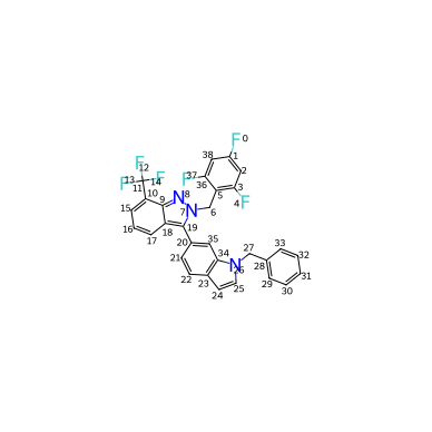 Fc1cc(F)c(Cn2nc3c(C(F)(F)F)cccc3c2-c2ccc3ccn(Cc4ccccc4)c3c2)c(F)c1